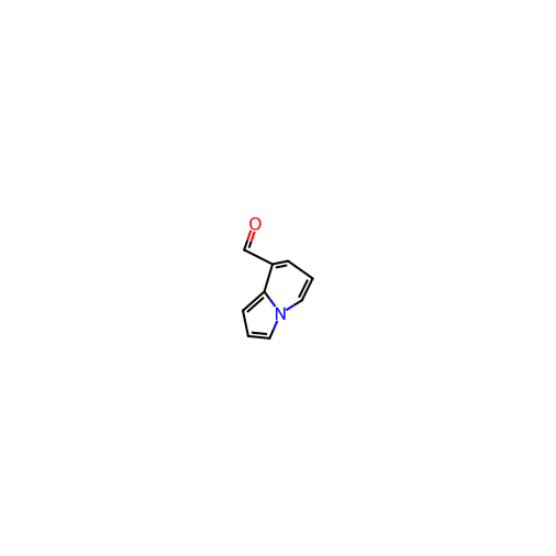 O=Cc1cccn2cccc12